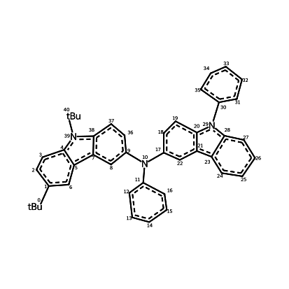 CC(C)(C)c1ccc2c(c1)c1cc(N(c3ccccc3)c3ccc4c(c3)c3ccccc3n4-c3ccccc3)ccc1n2C(C)(C)C